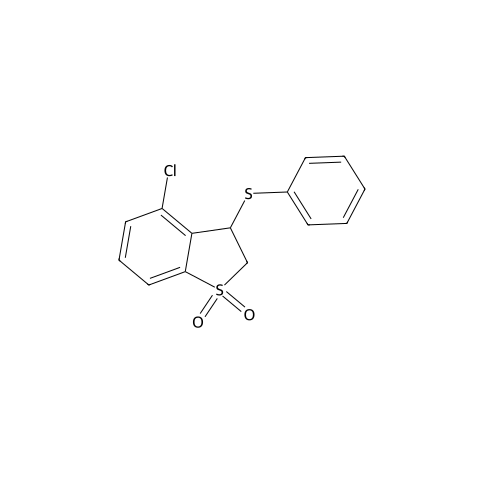 O=S1(=O)CC(Sc2ccccc2)c2c(Cl)cccc21